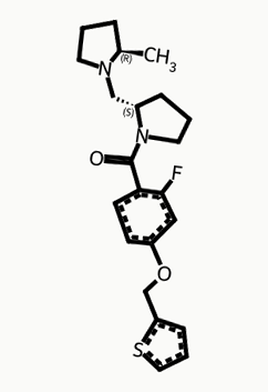 C[C@@H]1CCCN1C[C@@H]1CCCN1C(=O)c1ccc(OCc2cccs2)cc1F